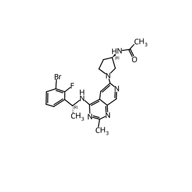 CC(=O)N[C@@H]1CCN(c2cc3c(N[C@H](C)c4cccc(Br)c4F)nc(C)nc3cn2)C1